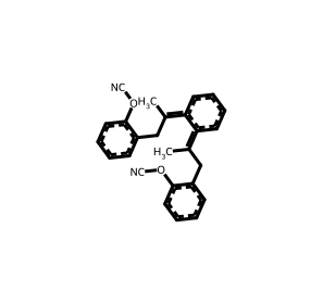 CC(Cc1ccccc1OC#N)=c1ccccc1=C(C)Cc1ccccc1OC#N